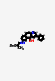 COC(C)CNc1ccc2c(c1)C(O)c1cc(-c3ccccc3)cnc1C=C2